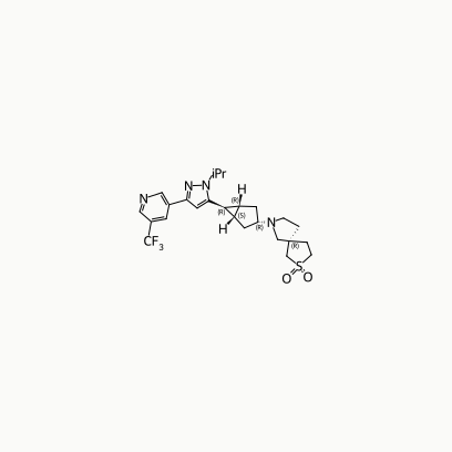 CC(C)n1nc(-c2cncc(C(F)(F)F)c2)cc1[C@H]1[C@@H]2C[C@H](N3CC[C@@]4(CCS(=O)(=O)C4)C3)C[C@@H]21